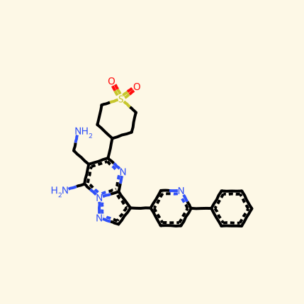 NCc1c(C2CCS(=O)(=O)CC2)nc2c(-c3ccc(-c4ccccc4)nc3)cnn2c1N